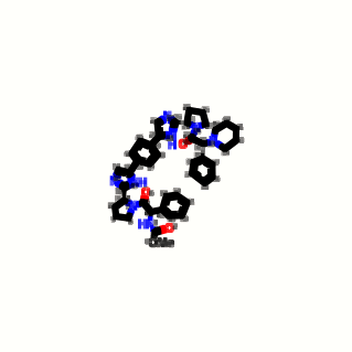 COC(=O)N[C@@H](C(=O)N1CCC[C@H]1c1ncc(-c2ccc(-c3cnc([C@@H]4CCCN4C(=O)[C@@H](c4ccccc4)N4CCCCC4)[nH]3)cc2)[nH]1)c1ccccc1